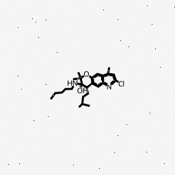 CCCCCN[C@@]1(O)[C@@H](CCC(C)C)c2cc3nc(Cl)cc(C)c3cc2OC1(C)C